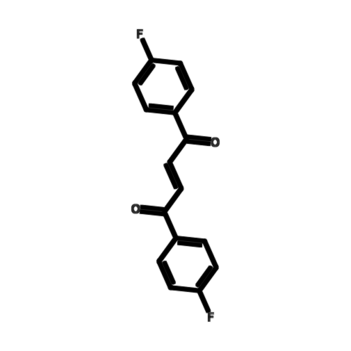 O=C(C=CC(=O)c1ccc(F)cc1)c1ccc(F)cc1